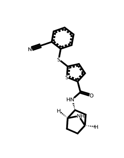 N#Cc1ccccc1Sc1ccc(C(=O)N[C@@H]2C[C@H]3CC[C@@H]2N3)s1